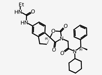 CCNC(=O)Nc1ccc2c(c1)CC[C@@]21OC(=O)N(CC(=O)N(C2CCCCC2)[C@H](C)c2ccccc2)C1=O